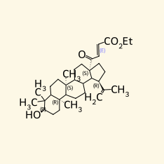 C=C(C)[C@@H]1CC[C@]2(C(=O)/C=C/C(=O)OCC)CCC3C(CCC4[C@@]3(C)CCC3C(C)(C)[C@H](O)CC[C@@]34C)C12